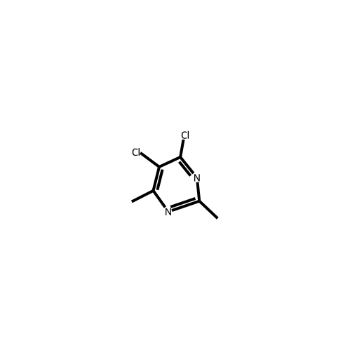 Cc1nc(C)c(Cl)c(Cl)n1